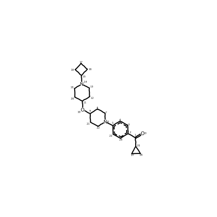 O=C(c1ccc(N2CCC(OC3CCN(C4CCC4)CC3)CC2)cc1)C1CC1